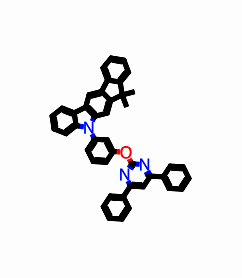 CC1(C)c2ccccc2-c2cc3c4ccccc4n(-c4cccc(Oc5nc(-c6ccccc6)cc(-c6ccccc6)n5)c4)c3cc21